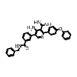 N=C(N)c1c(-c2ccc(Oc3ccccc3)cc2)ncc(-c2cccc(C(=O)NCc3ccccc3)c2)c1N